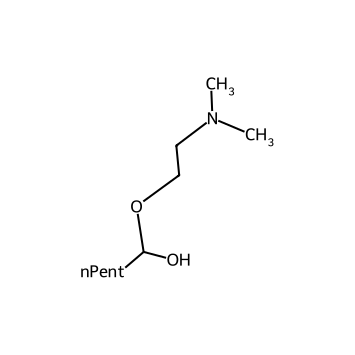 CCCCCC(O)OCCN(C)C